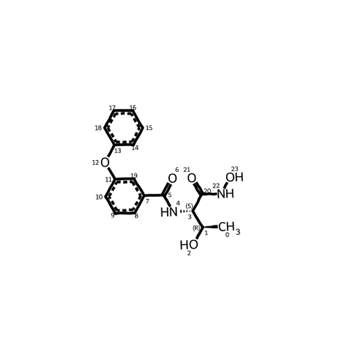 C[C@@H](O)[C@H](NC(=O)c1cccc(Oc2ccccc2)c1)C(=O)NO